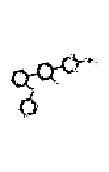 Nc1ncc(-c2ccc(-c3ccccc3Sc3ccncn3)cc2F)cn1